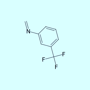 C=Nc1cccc(C(F)(F)F)c1